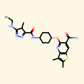 Cc1sc2cc(C(N)=O)c(O[C@H]3CC[C@H](NC(=O)C4=NN=C(NCC(C)C)C4C)CC3)nc2c1C